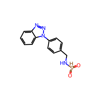 O=[SH](=O)NCc1ccc(-n2nnc3ccccc32)cc1